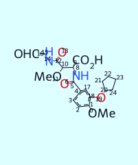 COc1ccc(C(=O)N[C@H](C(=O)O)C(OC)C(=O)NCC=O)cc1OC1CCCC1